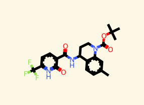 Cc1ccc2c(c1)N(C(=O)OC(C)(C)C)CCC2NC(=O)c1ccc(C(F)(F)F)[nH]c1=O